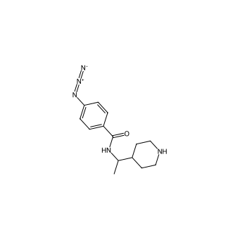 CC(NC(=O)c1ccc(N=[N+]=[N-])cc1)C1CCNCC1